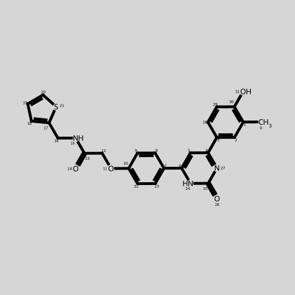 Cc1cc(-c2cc(-c3ccc(OCC(=O)NCc4cccs4)cc3)[nH]c(=O)n2)ccc1O